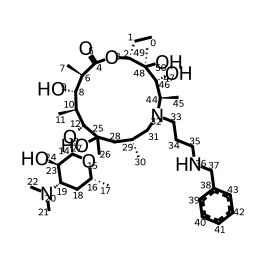 CC[C@H]1OC(=O)[C@H](C)[C@@H](O)[C@H](C)[C@@H](O[C@@H]2O[C@H](C)C[C@H](N(C)C)[C@H]2O)C(C)(O)C[C@@H](C)CN(CCCNCc2ccccc2)[C@H](C)[C@@H](O)[C@]1(C)O